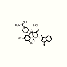 CC(C)c1cc(C(C)C)c(S(=O)(=O)N[C@H](Cc2c[nH]c3ccccc23)C(=O)NCC2CCCN(C(=N)N)C2)c(C(C)C)c1.Cl